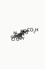 CC(C)C1=C2[C@H]3CC[C@@H]4[C@@]5(C)CC[C@H](OC(=O)CC(C)(C)C(=O)O)[C@H](C)[C@@H]5CC[C@@]4(C)[C@]3(C)CC[C@@]2([C@H](O)CNCc2ccccc2Cl)CC1=O